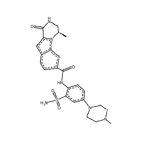 C[C@@H]1CNC(=O)c2cc3ccc(C(=O)Nc4ccc(N5CCN(C)CC5)cc4S(N)(=O)=O)nc3n21